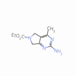 CCOC(=O)N1Cc2nc(N)nc(C)c2C1